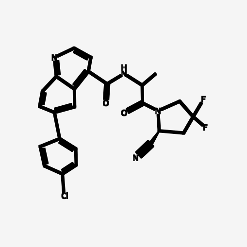 CC(NC(=O)c1ccnc2ccc(-c3ccc(Cl)cc3)cc12)C(=O)N1CC(F)(F)C[C@H]1C#N